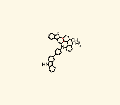 Cc1cccc(N(C2=Cc3c(sc4ccccc34)CC2)c2ccc(-c3ccc4[nH]c5ccccc5c4c3)cc2)c1C1=CC=CCC1C